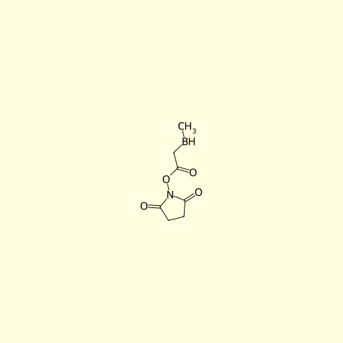 CBCC(=O)ON1C(=O)CCC1=O